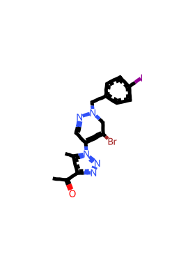 CC(=O)c1nnn(C2=C(Br)CN(Cc3ccc(I)cc3)N=C2)c1C